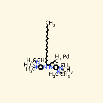 CCCCCCCCCCCCCCCCCCCC(=Nc1ccc(N(C)CC)c(N(C)CC)c1)C(CCCC)=Nc1ccc(N(C)CC)c(N(C)CC)c1.[Pd]